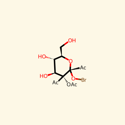 CC(=O)O[C@]1(C(C)=O)[C@@H](O)[C@H](O)[C@@H](CO)O[C@@]1(OBr)C(C)=O